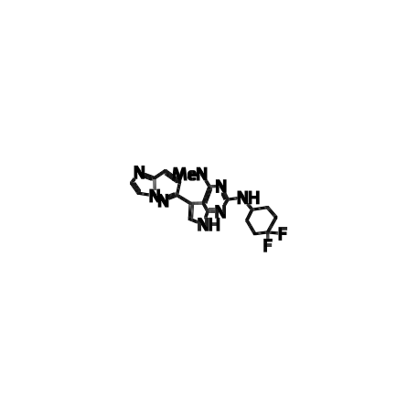 CNc1nc(NC2CCC(F)(F)CC2)nc2[nH]cc(-c3ccc4nccn4n3)c12